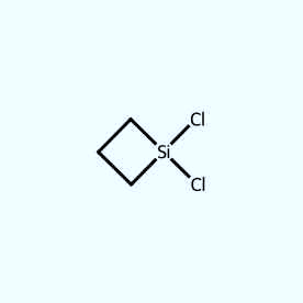 Cl[Si]1(Cl)CCC1